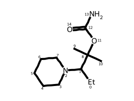 CCC(N1CCCCC1)C(C)(C)OC(N)=O